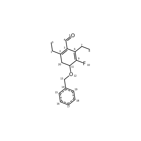 CCC1=C(C=O)C(CC)=C(F)C(OCc2ccccc2)C1